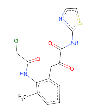 O=C(CCl)Nc1c(CC(=O)C(=O)Nc2nccs2)cccc1C(F)(F)F